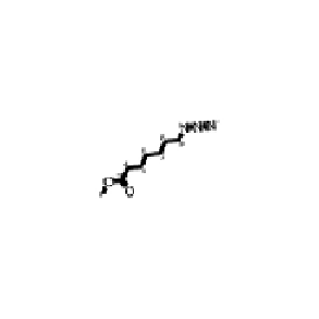 COC(=O)CCCCCCN=[N+]=[N-]